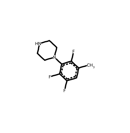 Cc1cc(F)c(F)c(N2CCNCC2)c1F